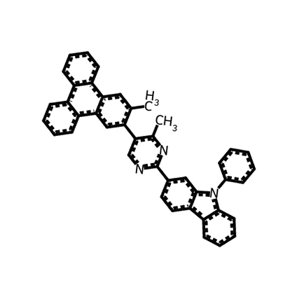 Cc1cc2c3ccccc3c3ccccc3c2cc1-c1cnc(-c2ccc3c4ccccc4n(-c4ccccc4)c3c2)nc1C